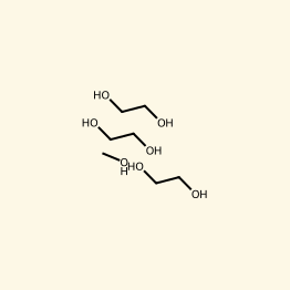 CO.OCCO.OCCO.OCCO